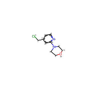 ClCc1ccnc(N2CCOCC2)c1